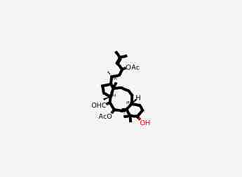 CC(=O)OC(C=C(C)C)C[C@@H](C)C1CC[C@@]2(C)C(C=O)C(OC(C)=O)/C=C3\[C@H](CCCC12C)CCC(O)C3(C)C